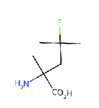 CC(C)(F)CC(C)(N)C(=O)O